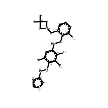 Cc1cc(NCc2c(F)cccc2CN2CC(C)(C)C2)c(F)c(F)c1SNc1cscn1